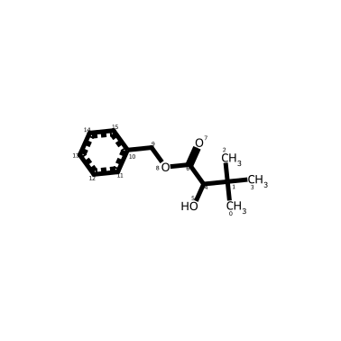 CC(C)(C)C(O)C(=O)OCc1ccccc1